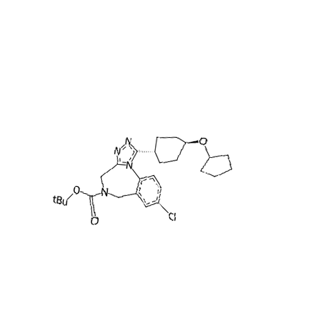 CC(C)(C)OC(=O)N1Cc2cc(Cl)ccc2-n2c(nnc2[C@H]2CC[C@H](OC3CCCC3)CC2)C1